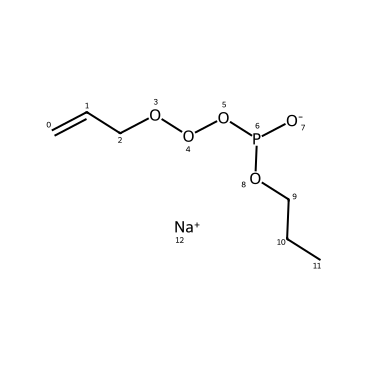 C=CCOOOP([O-])OCCC.[Na+]